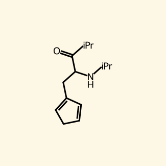 CC(C)NC(CC1=CCC=C1)C(=O)C(C)C